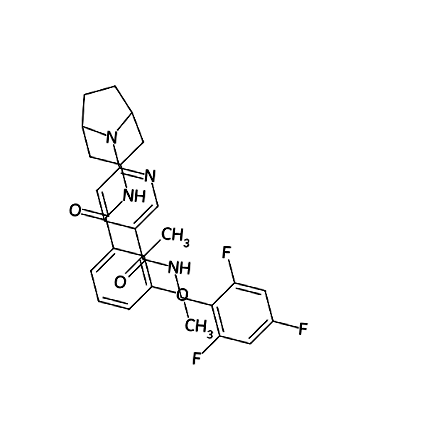 COc1cccc(C(=O)NC2CC3CCC(C2)N3c2ccc(C(=O)NCc3c(F)cc(F)cc3F)cn2)c1C